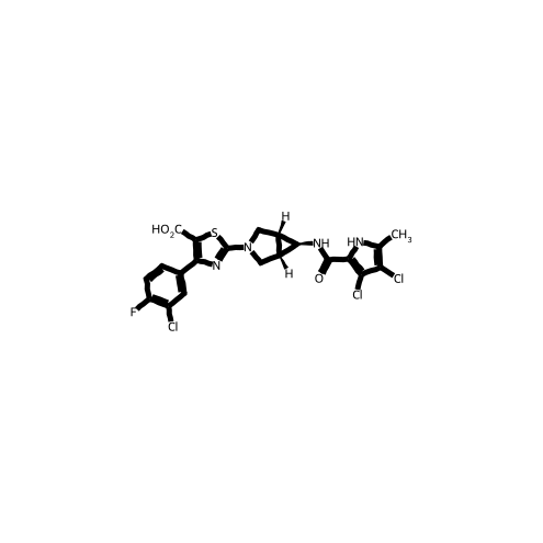 Cc1[nH]c(C(=O)N[C@H]2[C@@H]3CN(c4nc(-c5ccc(F)c(Cl)c5)c(C(=O)O)s4)C[C@@H]32)c(Cl)c1Cl